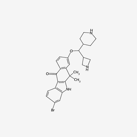 CC1(C)c2cc(OC(C3CCNCC3)C3CNC3)ccc2C(=O)c2c1[nH]c1cc(Br)ccc21